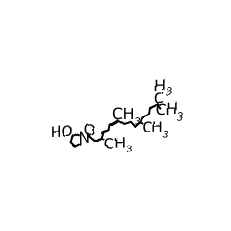 CC(C)=CCCC(C)=CCCC(C)=CCCC(C)CC(=O)N1CCCC(O)C1